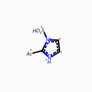 CC(=O)c1[nH]cc[n+]1S(=O)(=O)O